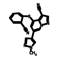 Cn1cc(-c2cc(Sc3ccccc3C#N)c3c(C#N)cnn3c2)cn1